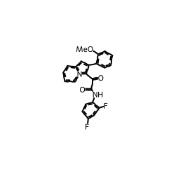 COc1ccccc1-c1cc2ccccn2c1C(=O)C(=O)Nc1ccc(F)cc1F